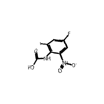 O=C(O)Nc1c(I)cc(F)cc1[N+](=O)[O-]